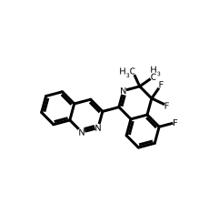 CC1(C)N=C(c2cc3ccccc3nn2)c2cccc(F)c2C1(F)F